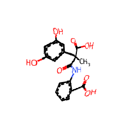 CC(C(=O)O)(C(=O)Nc1ccccc1C(=O)O)c1cc(O)cc(O)c1